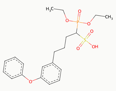 CCOP(=O)(OCC)C(CCCc1cccc(Oc2ccccc2)c1)S(=O)(=O)O